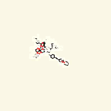 COC(=O)N[C@H](C(=O)N[C@@H](Cc1ccc(C#Cc2cnc(N3CC4CCC(C3)N4C3COC3)nc2)cc1)[C@H](CN(Cc1c(F)cc(-c2ccn(C(F)F)n2)cc1F)NC(=O)[C@@H](NC(=O)OC)C(C)(C)C(F)(F)F)OC(=O)CC(C)(C)c1c(CC(=O)N2C[C@H](OC)C[C@H]2C(=O)O)cc(C)cc1OP(=O)(O)O)C(C)(C)C(F)(F)F